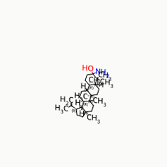 C=C(C)[C@@H]1CC[C@]2(C)CC[C@]3(C)[C@H](CC[C@@H]4[C@@]5(C)CCC(N)(O)C(C)(C)[C@@H]5CC[C@]43C)[C@@H]12